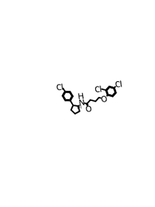 O=C(CCCOc1ccc(Cl)cc1Cl)N[C@@H]1CCCC1c1ccc(Cl)cc1